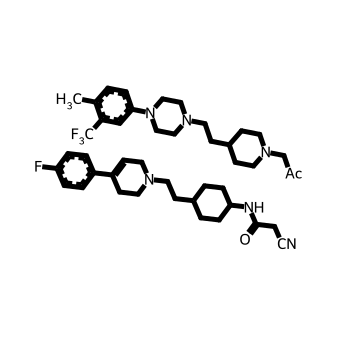 CC(=O)CN1CCC(CCN2CCN(c3ccc(C)c(C(F)(F)F)c3)CC2)CC1.N#CCC(=O)NC1CCC(CCN2CC=C(c3ccc(F)cc3)CC2)CC1